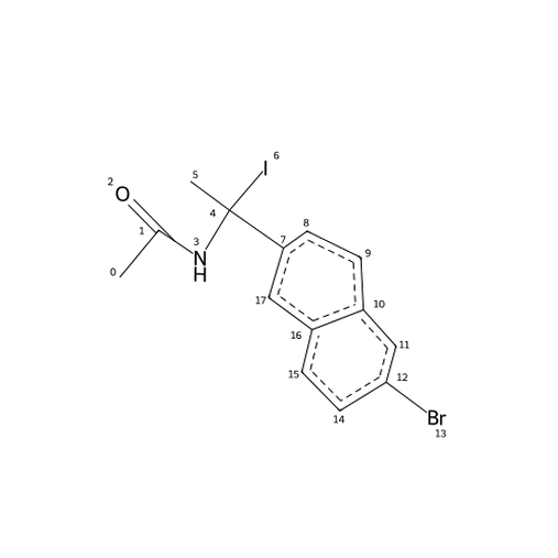 CC(=O)NC(C)(I)c1ccc2cc(Br)ccc2c1